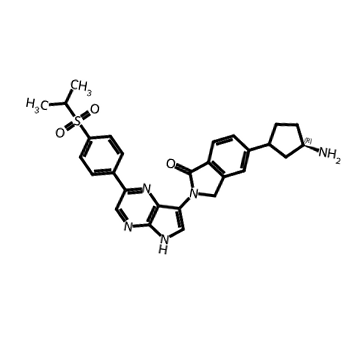 CC(C)S(=O)(=O)c1ccc(-c2cnc3[nH]cc(N4Cc5cc(C6CC[C@@H](N)C6)ccc5C4=O)c3n2)cc1